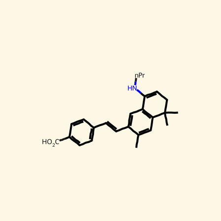 CCCNC1=CCC(C)(C)c2cc(C)c(C=Cc3ccc(C(=O)O)cc3)cc21